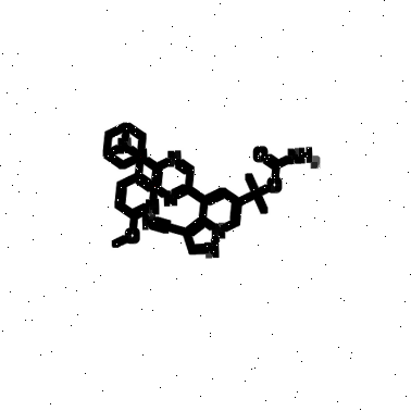 COc1ccc(CN2C3CC2CN(c2cnc(-c4cc(C(C)(C)OC(N)=O)cn5ncc(C#N)c45)cn2)C3)cn1